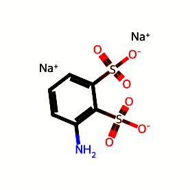 Nc1cccc(S(=O)(=O)[O-])c1S(=O)(=O)[O-].[Na+].[Na+]